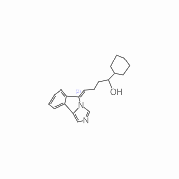 OC(CC/C=c1/c2ccccc2c2cncn12)C1CCCCC1